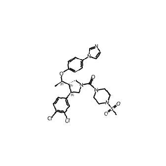 C[C@@H](Oc1ccc(-n2ccnc2)cc1)[C@@H]1CN(C(=O)N2CCN(S(C)(=O)=O)CC2)C[C@H]1c1ccc(Cl)c(Cl)c1